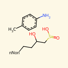 CCCCCCCCCCCC(O)CS(=O)O.Cc1ccc(N)cc1